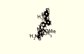 COC(C)Cn1c(CN2CCC(c3cccc4c3OC(C)(c3ccc(Cl)cc3F)O4)CC2)nc2cc(C(N)=O)nnc21